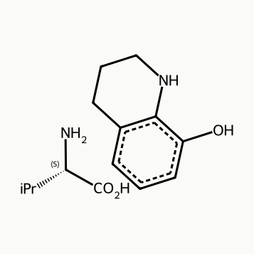 CC(C)[C@H](N)C(=O)O.Oc1cccc2c1NCCC2